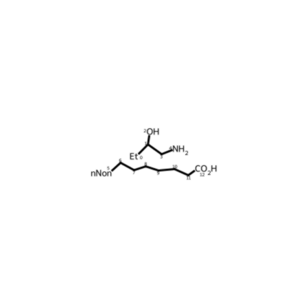 CCC(O)CN.CCCCCCCCCCCCCCCC(=O)O